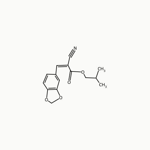 CC(C)COC(=O)C(C#N)=Cc1ccc2c(c1)OCO2